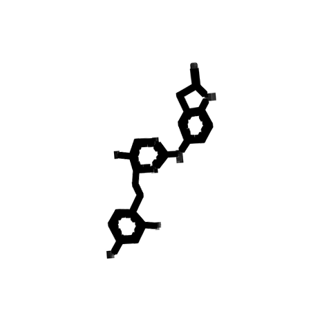 O=C1Cc2cc(Nc3ncc(F)c(CCc4ccc(Br)cc4F)n3)ccc2N1